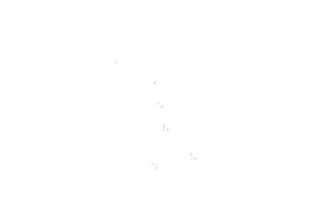 C[C@H]1[C@@H](c2cccc(C(F)(F)F)c2)OC(=O)N1C(=O)NCc1cncc2cccnc12